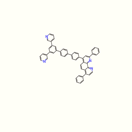 c1ccc(-c2cc(-c3ccc(-c4ccc(-c5cc(-c6cccnc6)cc(-c6cccnc6)c5)cc4)cc3)c3ccc4c(-c5ccccc5)ccnc4c3n2)cc1